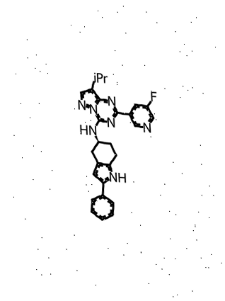 CC(C)c1cnn2c(N[C@H]3CCc4[nH]c(-c5ccccc5)cc4C3)nc(-c3cncc(F)c3)nc12